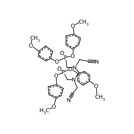 COc1ccc(OP(=O)(CN(CC#N)CN(CC#N)CP(=O)(Oc2ccc(OC)cc2)Oc2ccc(OC)cc2)Oc2ccc(OC)cc2)cc1